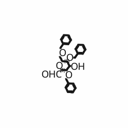 O=C[C@H]1OC(COCc2ccccc2)[C@@H](OCc2ccccc2)C(O)C1OCc1ccccc1